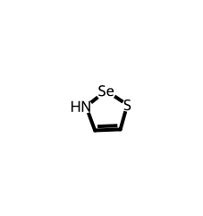 C1=CS[Se]N1